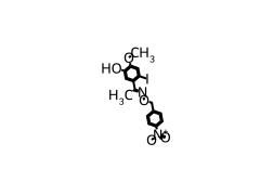 COc1cc(I)c(C(C)=NOCc2ccc([N+](=O)[O-])cc2)cc1O